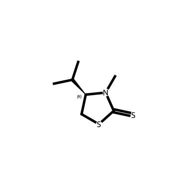 CC(C)[C@@H]1CSC(=S)N1C